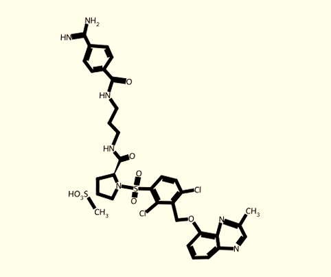 CS(=O)(=O)O.Cc1cnc2cccc(OCc3c(Cl)ccc(S(=O)(=O)N4CCC[C@H]4C(=O)NCCCNC(=O)c4ccc(C(=N)N)cc4)c3Cl)c2n1